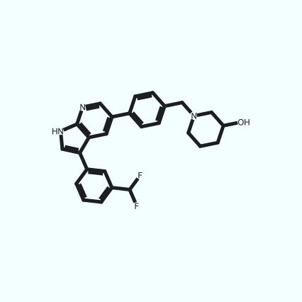 OC1CCCN(Cc2ccc(-c3cnc4[nH]cc(-c5cccc(C(F)F)c5)c4c3)cc2)C1